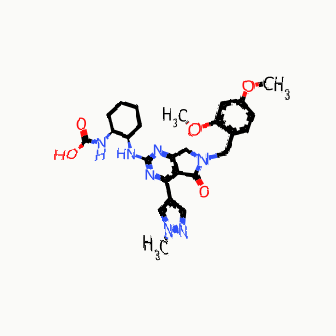 COc1ccc(CN2Cc3nc(N[C@@H]4CCCC[C@@H]4NC(=O)O)nc(-c4cnn(C)c4)c3C2=O)c(OC)c1